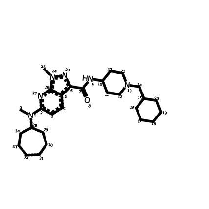 CN(c1ccc2c(C(=O)NC3CCN(CC4CCCCC4)CC3)nn(C)c2n1)C1CCCCCC1